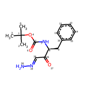 CC(C)(C)OC(=O)N[C@@H](Cc1ccccc1)C(=O)C=NN